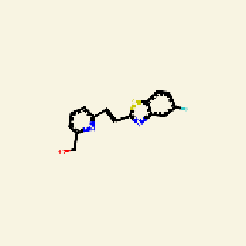 OCc1cccc(C=Cc2nc3cc(F)ccc3s2)n1